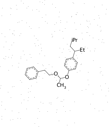 CCC(CC(C)C)c1ccc(OC(C)OCCc2ccccc2)cc1